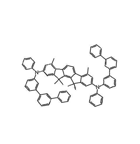 Cc1cc(N(c2ccccc2)c2cccc(-c3cccc(-c4ccccc4)c3)c2)cc2c1-c1ccc3c(c1C2(C)C)C(C)(C)c1cc(N(c2ccccc2)c2cccc(-c4cccc(-c5ccccc5)c4)c2)cc(C)c1-3